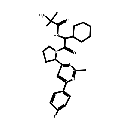 Cc1nc(-c2ccc(F)cc2)cc(C2CCCN2C(=O)C(NC(=O)C(C)(C)N)C2CCCCC2)n1